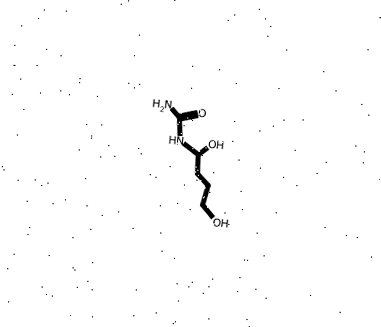 NC(=O)NC(O)CCCO